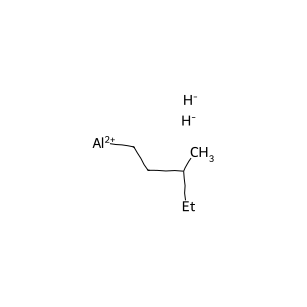 CCC(C)C[CH2][Al+2].[H-].[H-]